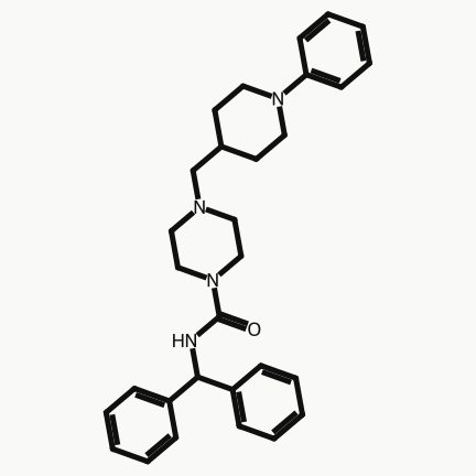 O=C(NC(c1ccccc1)c1ccccc1)N1CCN(CC2CCN(c3ccccc3)CC2)CC1